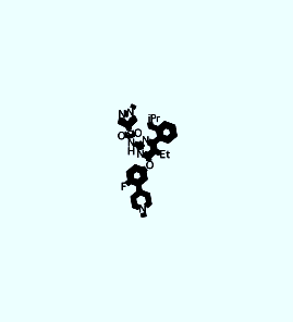 CCc1c(Oc2ccc(F)c(C3CCN(C)CC3)c2)nc(NS(=O)(=O)c2cnn(C)c2)nc1-c1ccccc1CC(C)C